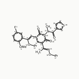 COc1ccc(F)cc1/C(=C/n1cc(/C(C)=N/OC(C)C)c(=O)n(N(C)C(=O)c2ccsc2)c1=O)OC(C)C